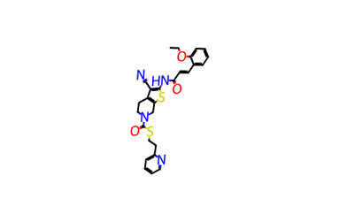 CCOc1ccccc1C=CC(=O)Nc1sc2c(c1C#N)CCN(C(=O)SCCc1ccccn1)C2